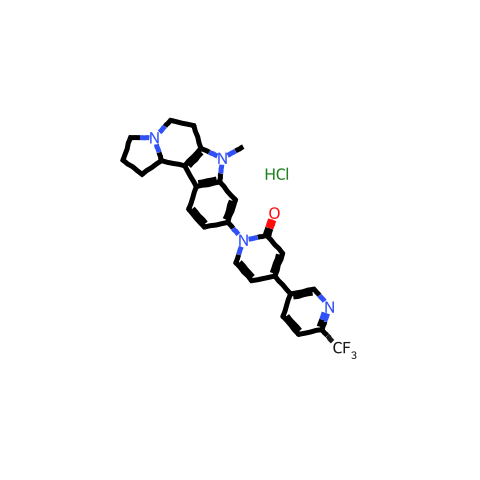 Cl.Cn1c2c(c3ccc(-n4ccc(-c5ccc(C(F)(F)F)nc5)cc4=O)cc31)C1CCCN1CC2